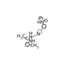 CC=C=C(NCCCN1CCC(c2cccc(NC(=O)C(C)C)c2)CC1)Nc1ccccc1C